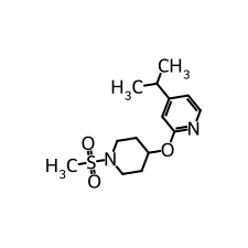 CC(C)c1ccnc(OC2CCN(S(C)(=O)=O)CC2)c1